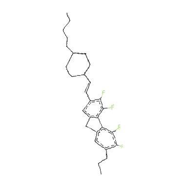 CCCCCC1CCC(C=Cc2cc3c(c(F)c2F)-c2c(cc(CCC)c(F)c2F)C3)CC1